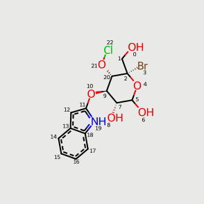 OC[C@@]1(Br)OC(O)[C@H](O)[C@@H](Oc2cc3ccccc3[nH]2)[C@@H]1OCl